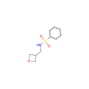 O=S(=O)(NCC1COC1)c1ccccc1